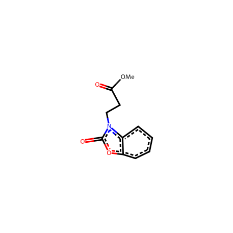 COC(=O)CCn1c(=O)oc2ccccc21